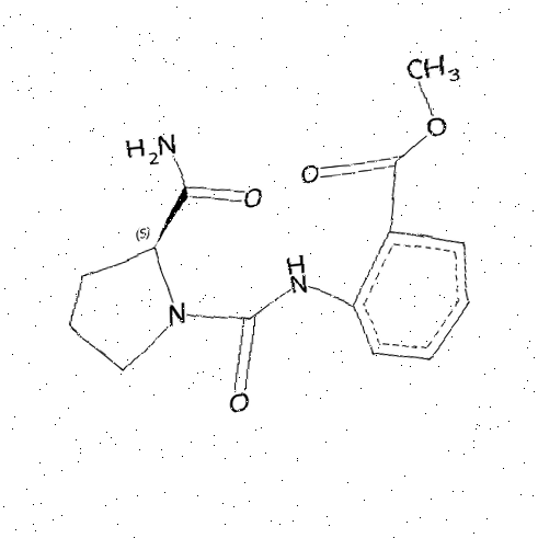 COC(=O)c1ccccc1NC(=O)N1CCC[C@H]1C(N)=O